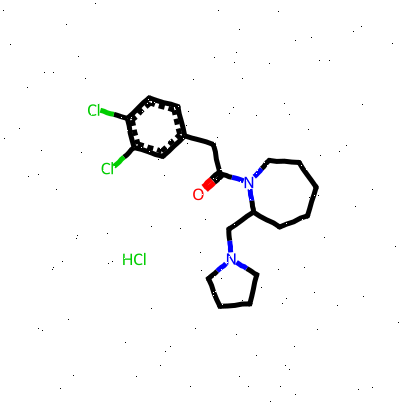 Cl.O=C(Cc1ccc(Cl)c(Cl)c1)N1CCCCCC1CN1CCCC1